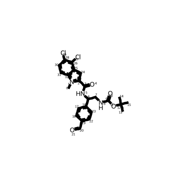 Cn1c(C(=O)NC(CNC(=O)OC(C)(C)C)c2ccc(C=O)cc2)cc2c(Cl)c(Cl)ccc21